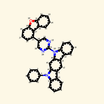 c1ccc(-n2c3ccccc3c3cc4c5ccccc5n(-c5ncc(-c6cccc7oc8ccccc8c67)cn5)c4cc32)cc1